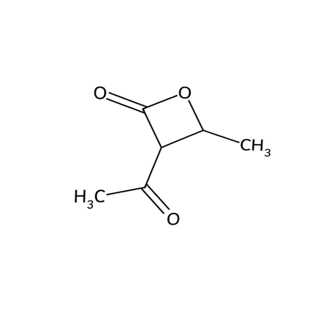 CC(=O)C1C(=O)OC1C